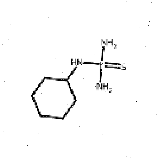 NP(N)(=S)NC1CCCCC1